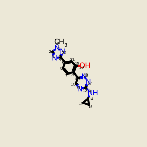 Cn1cnc(-c2ccc(-c3cnc(NC4CC4)nn3)c(O)c2)n1